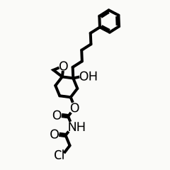 O=C(CCl)NC(=O)OC1CCC2(CO2)C(O)(CCCCCc2ccccc2)C1